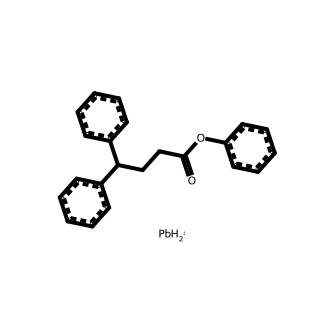 O=C(CCC(c1ccccc1)c1ccccc1)Oc1ccccc1.[PbH2]